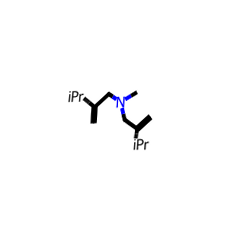 C=C(CN(C)CC(=C)C(C)C)C(C)C